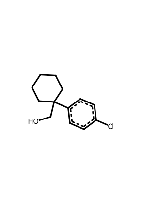 OCC1(c2ccc(Cl)cc2)CCCCC1